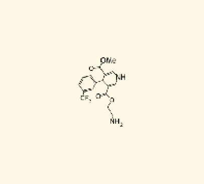 COC(=O)C1=CNC=C(C(=O)OCCN)C1c1cccc(C(F)(F)F)c1